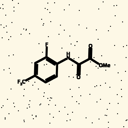 COC(=O)C(=O)Nc1ccc(C(F)(F)F)cc1F